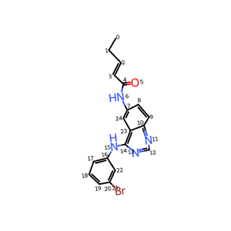 CC/C=C/C(=O)Nc1ccc2ncnc(Nc3cccc(Br)c3)c2c1